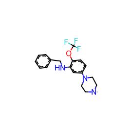 FC(F)(F)Oc1ccc(N2CC[N]CC2)cc1NCc1ccccc1